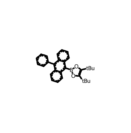 CC(C)(C)C1=C(C(C)(C)C)OB(c2c3ccccc3c(-c3ccccc3)c3ccccc23)O1